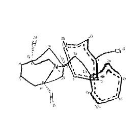 Clc1ccc(N2[C@@H]3CC[C@H]2CN(Cc2ccccc2)C3)nc1